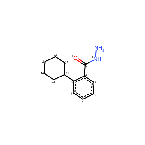 NNC(=O)c1ccccc1C1CCCCC1